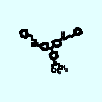 CCN(CC)c1ccc(C(c2ccc(NCCCc3ccccc3)cc2)c2ccc(NCCCc3ccccc3)cc2)cc1